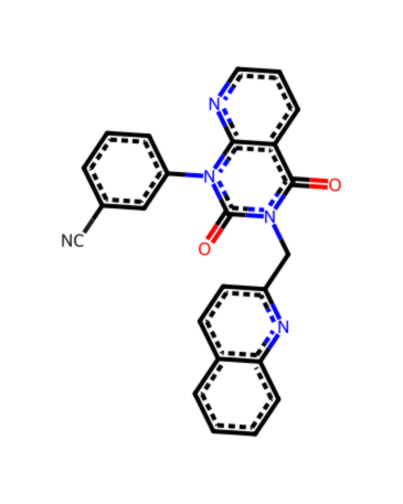 N#Cc1cccc(-n2c(=O)n(Cc3ccc4ccccc4n3)c(=O)c3cccnc32)c1